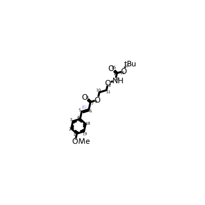 COc1ccc(/C=C/C(=O)OCCONC(=O)OC(C)(C)C)cc1